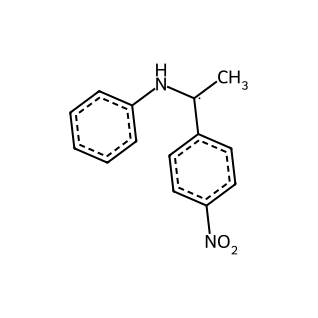 C[C](Nc1ccccc1)c1ccc([N+](=O)[O-])cc1